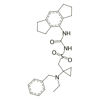 CCN(Cc1ccccc1)C1(CS(=O)(=O)NC(=O)Nc2c3c(cc4c2CCC4)CCC3)CC1